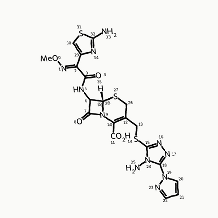 CON=C(C(=O)NC1C(=O)N2C(C(=O)O)=C(CSc3nnc(-n4cccn4)n3N)CS[C@@H]12)c1csc(N)n1